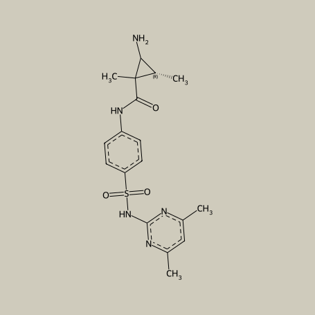 Cc1cc(C)nc(NS(=O)(=O)c2ccc(NC(=O)C3(C)C(N)[C@@H]3C)cc2)n1